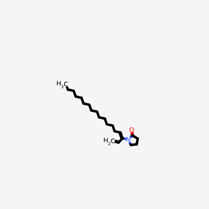 C=CC(=CCCCCCCCCCCCCCC)N1CCCC1=O